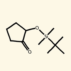 CC(C)(C)[Si](C)(C)OC1CCCC1=O